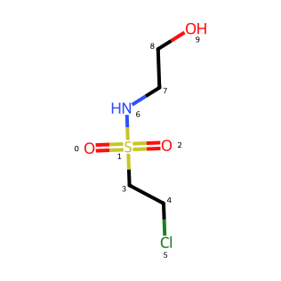 O=S(=O)(CCCl)NCCO